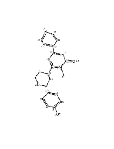 Cn1c(N2CCO[C@@H](c3ccc(Br)cc3)C2)nc(-c2ccncc2)cc1=O